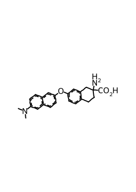 CN(C)c1ccc2cc(Oc3ccc4c(c3)CC(N)(C(=O)O)CC4)ccc2c1